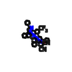 N#Cc1cc(C#N)cc(-c2ccc3c4ccccc4n(-c4c(-c5cc(-c6ccccc6)nc(-c6ccccc6)n5)cc(C(F)(F)F)cc4-c4nc(-c5ccccc5)cc(-c5ccccc5)n4)c3c2)c1